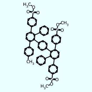 COS(=O)(=O)c1ccc(-c2ccc(-c3ccc(C)cc3)c(-c3ccc(-c4c(-c5ccc(S(=O)(=O)OC)cc5)ccc(-c5ccc(S(=O)(=O)OC)cc5)c4-c4ccccc4)cc3)c2-c2ccccc2)cc1